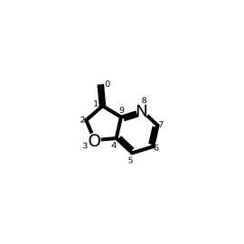 C=C1COc2cccnc21